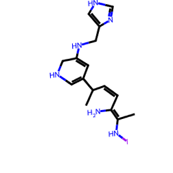 C/C(NI)=C(N)\C=C/C(C)C1=CNCC(NCc2c[nH]cn2)=C1